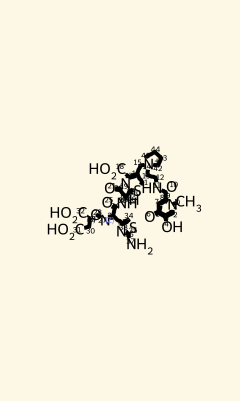 Cn1cc(O)c(=O)cc1C(=O)NCC[N+]1(CC2=C(C(=O)O)N3C(=O)[C@@H](NC(=O)/C(=N\O[C@@H](CC(=O)O)C(=O)O)c4csc(N)n4)[C@H]3SC2)CCCC1